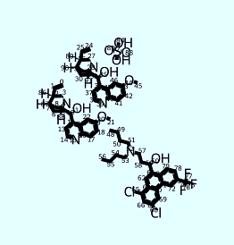 C=C[C@H]1C[N@]2CC[C@H]1C[C@H]2[C@H](O)c1ccnc2ccc(OC)cc12.C=C[C@H]1C[N@]2CC[C@H]1C[C@H]2[C@H](O)c1ccnc2ccc(OC)cc12.CCCCN(CCCC)CCC(O)c1cc2c(Cl)cc(Cl)cc2c2cc(C(F)(F)F)ccc12.O=S(=O)(O)O